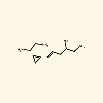 C1=CC1.C=CCC(N)CN.NCCN